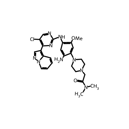 COc1cc(N2CCN(CC(=O)N(C)C)CC2)c(N)cc1Nc1ncc(Cl)c(-c2cnn3ccccc23)n1